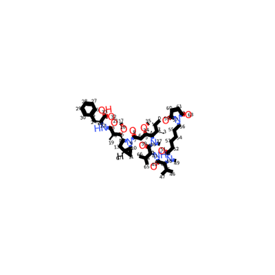 CC[C@H](C)C(C(CC(=O)N1C2C[C@H]2C[C@H]1C(OC)[C@@H](C)C(=O)N[C@@H](Cc1ccccc1)C(=O)O)OC)N(C)C(=O)[C@@H](NC(=O)C(C(C)C)N(C)C(=O)CCCCCN1C(=O)C=CC1=O)C(C)C